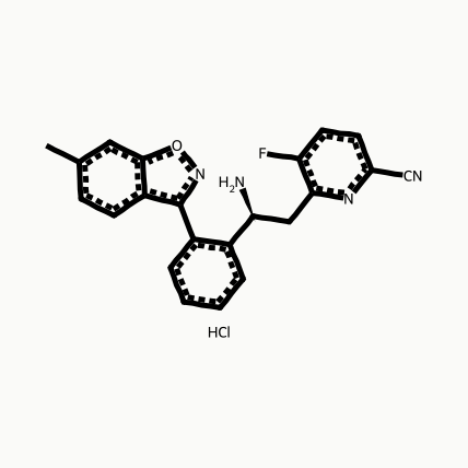 Cc1ccc2c(-c3ccccc3[C@@H](N)Cc3nc(C#N)ccc3F)noc2c1.Cl